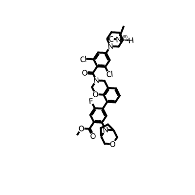 COC(=O)c1cc(F)c(-c2cccc3c2OCN(C(=O)c2c(Cl)cc(N4C[C@H]5CCC4CN5C)cc2Cl)C3)cc1N1C2CCC1COC2